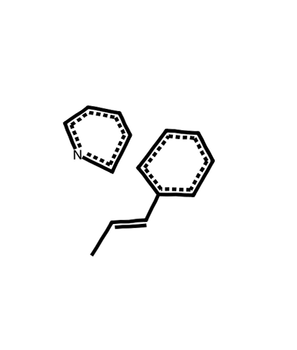 CC=Cc1ccccc1.c1ccncc1